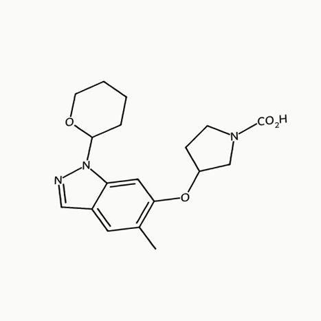 Cc1cc2cnn(C3CCCCO3)c2cc1OC1CCN(C(=O)O)C1